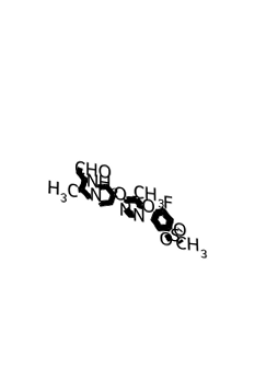 Cc1c(Oc2ccc(S(C)(=O)=O)cc2F)ncnc1OC1CCN(CC(C)C(N)CC=O)CC1